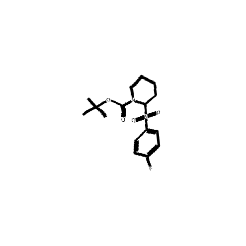 CC(C)(C)OC(=O)N1CCCCC1S(=O)(=O)c1ccc(F)cc1